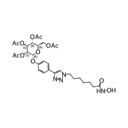 CC(=O)OC[C@H]1O[C@H](Oc2ccc(-c3cn(CCCCCCC(=O)NO)nn3)cc2)[C@@H](OC(C)=O)[C@@H](OC(C)=O)[C@@H]1OC(C)=O